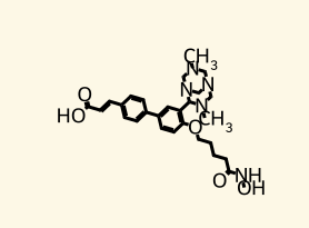 CN1CN2CN(C)C(c3cc(-c4ccc(/C=C/C(=O)O)cc4)ccc3OCCCCC(=O)NO)N(C1)C2